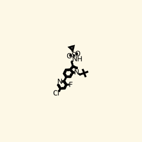 CC(C)(C)Cn1cc(CNS(=O)(=O)C2CC2)c2ccc(-c3ncc(Cl)cc3F)cc21